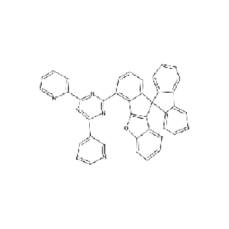 c1ccc(-c2nc(-c3cccnc3)nc(-c3cccc4c3-c3oc5ccccc5c3C43c4ccccc4-c4ccccc43)n2)nc1